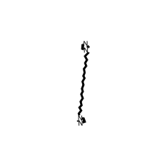 c1cn(CCCCCCCCCCCCCCCCCCCCn2ccnc2)cn1